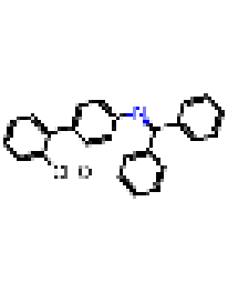 O=Cc1ccccc1-c1ccc(N=C(c2ccccc2)c2ccccc2)cc1